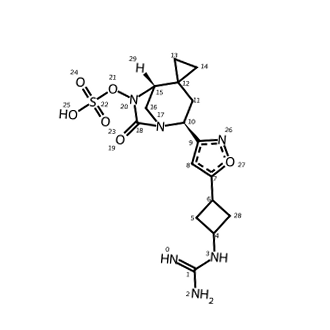 N=C(N)NC1CC(c2cc([C@@H]3CC4(CC4)[C@@H]4CN3C(=O)N4OS(=O)(=O)O)no2)C1